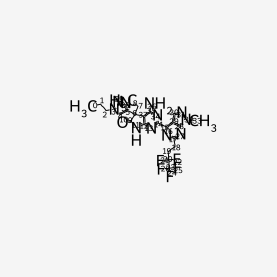 CCCn1cc(C2(CC)C(=O)Nc3nc(-c4nc(CCC(F)(F)C(F)(F)F)nc5c4cnn5C)nc(N)c32)nn1